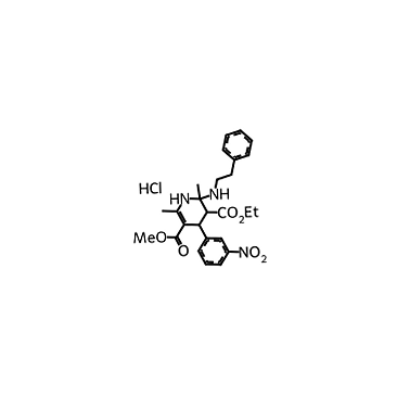 CCOC(=O)C1C(c2cccc([N+](=O)[O-])c2)C(C(=O)OC)=C(C)NC1(C)NCCc1ccccc1.Cl